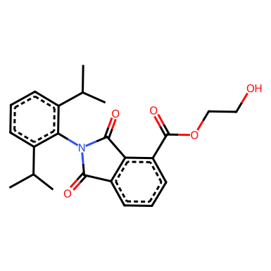 CC(C)c1cccc(C(C)C)c1N1C(=O)c2cccc(C(=O)OCCO)c2C1=O